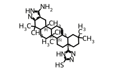 CC1(C)CC[C@]2(c3nnc(S)[nH]3)CC[C@]3(C)C(=CCC4[C@@]5(C)Cc6c(n[nH]c6N)C(C)(C)C5CC[C@]43C)C2C1